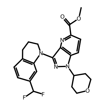 COC(=O)c1ccc2c(n1)c(N1CCCc3ccc(C(F)F)cc31)nn2C1CCOCC1